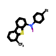 CCc1ccc(N(I)c2cccc3c2sc2c(C(F)(F)F)cccc23)cc1